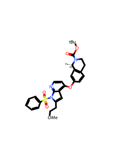 COCCc1cc2c(Oc3ccc4c(c3)[C@H](C)N(C(=O)OC(C)(C)C)CC4)ccnc2n1S(=O)(=O)c1ccccc1